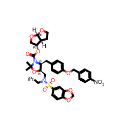 CC(C)CN(C[C@H]1OC(C)(C)N(C(=O)O[C@H]2CO[C@H]3OCC[C@H]32)[C@H]1Cc1ccc(OCc2ccc([N+](=O)[O-])cc2)cc1)S(=O)(=O)c1ccc2c(c1)OCO2